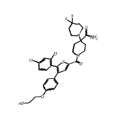 NC(=O)C1(N2CCC(F)(F)CC2)CCN(C(=O)c2cc(-c3ccc(OCCO)cc3)c(-c3ccc(Cl)cc3Cl)s2)CC1